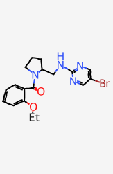 CCOc1ccccc1C(=O)N1CCCC1CNc1ncc(Br)cn1